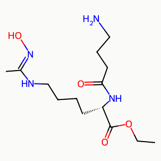 CCOC(=O)[C@H](CCCCNC(C)=NO)NC(=O)CCCN